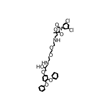 CC1(CCNCCOCCOCCNCC(O)COc2ccc(Oc3ccccc3)c(Oc3ccccc3)c2)OC(=O)N(c2cc(Cl)cc(Cl)c2)C1=O